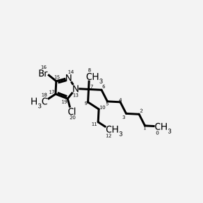 CCCCCCCC(C)(CCCC)n1nc(Br)c(C)c1Cl